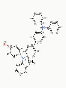 CC1(N(c2ccccc2)c2ccc(Br)cc2)C=CC(c2ccc(N(c3ccccc3)c3ccccc3)cc2)=CC1